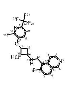 Cl.Fc1ccc2cnccc2c1CNC1CC(Oc2ccc(C(F)(F)F)nc2F)C1